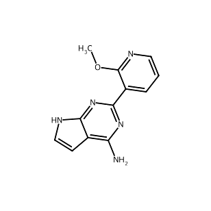 COc1ncccc1-c1nc(N)c2cc[nH]c2n1